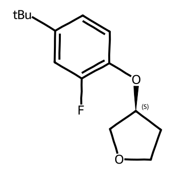 CC(C)(C)c1ccc(O[C@H]2CCOC2)c(F)c1